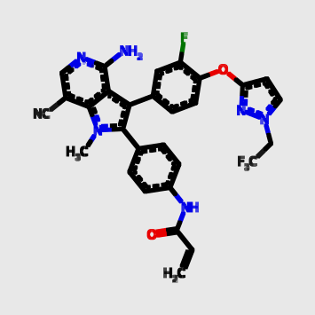 C=CC(=O)Nc1ccc(-c2c(-c3ccc(Oc4ccn(CC(F)(F)F)n4)c(F)c3)c3c(N)ncc(C#N)c3n2C)cc1